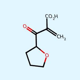 C=C(C(=O)O)C(=O)C1CCCO1